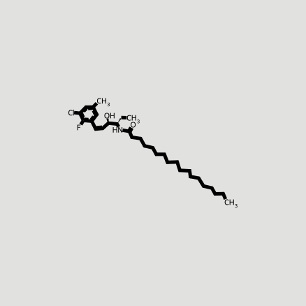 CCCCCCCCCCCCCCCCCC(=O)N[C@@H](CC)[C@H](O)/C=C\c1cc(C)cc(Cl)c1F